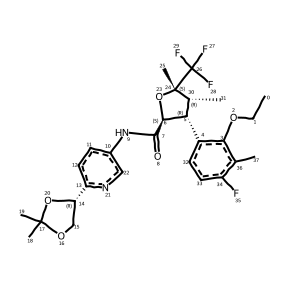 CCOc1c([C@@H]2[C@@H](C(=O)Nc3ccc([C@@H]4COC(C)(C)O4)nc3)O[C@](C)(C(F)(F)F)[C@@H]2C)ccc(F)c1C